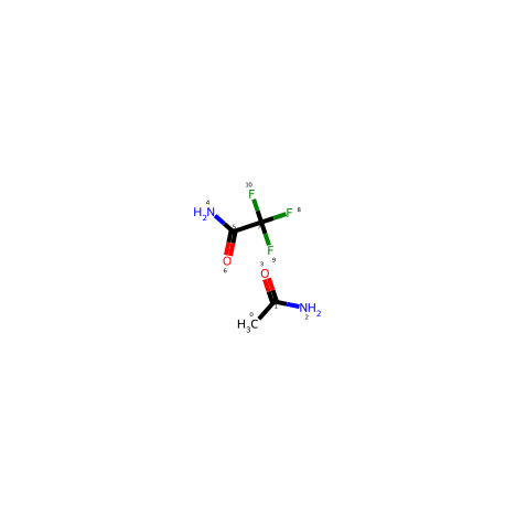 CC(N)=O.NC(=O)C(F)(F)F